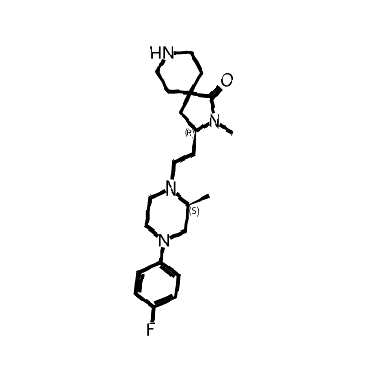 C[C@H]1CN(c2ccc(F)cc2)CCN1CC[C@H]1CC2(CCNCC2)C(=O)N1C